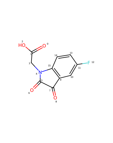 O=C(O)CN1C(=O)C(=O)c2cc(F)ccc21